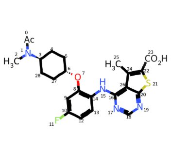 CC(=O)N(C)[C@H]1CC[C@H](Oc2cc(F)ccc2Nc2ncnc3sc(C(=O)O)c(C)c23)CC1